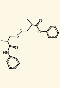 CC(CSSCC(C)C(=O)Nc1ccccc1)C(=O)Nc1ccccc1